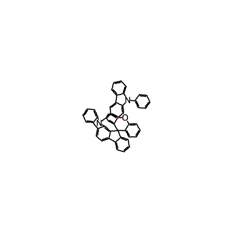 c1ccc(-n2c3ccccc3c3cc(-n4c5ccccc5c5ccc6c(c54)C4(c5ccccc5Oc5ccccc54)c4ccccc4-6)ccc32)cc1